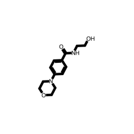 O=C(NCCO)c1ccc(N2CCOCC2)cc1